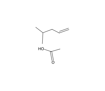 C=CCC(C)C.CC(=O)O